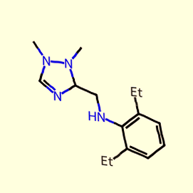 CCc1cccc(CC)c1NCC1N=CN(C)N1C